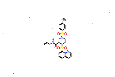 C=CCNC(=O)C1CN(S(=O)(=O)c2ccc(C(C)(C)C)cc2)CCN1S(=O)(=O)c1cccc2cccnc12